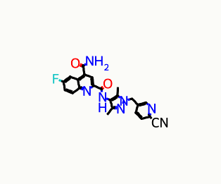 Cc1nn(Cc2ccc(C#N)nc2)c(C)c1NC(=O)c1cc(C(N)=O)c2cc(F)ccc2n1